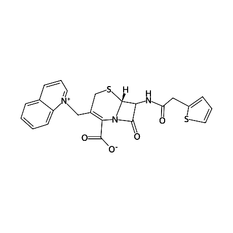 O=C(Cc1cccs1)NC1C(=O)N2C(C(=O)[O-])=C(C[n+]3cccc4ccccc43)CS[C@H]12